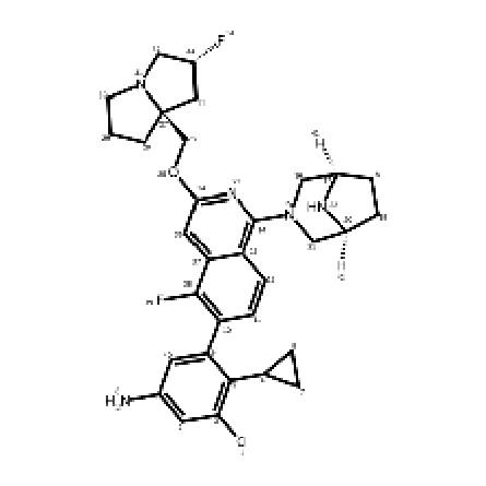 Nc1cc(Cl)c(C2CC2)c(-c2ccc3c(N4C[C@H]5CC[C@@H](C4)N5)nc(OC[C@@]45CCCN4C[C@H](F)C5)cc3c2F)c1